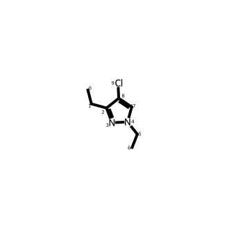 CCc1nn(CC)[c]c1Cl